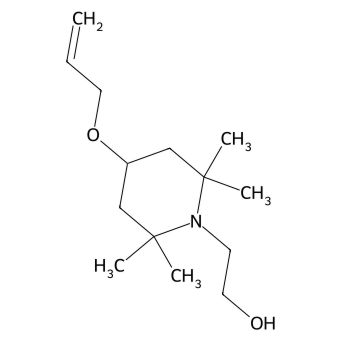 C=CCOC1CC(C)(C)N(CCO)C(C)(C)C1